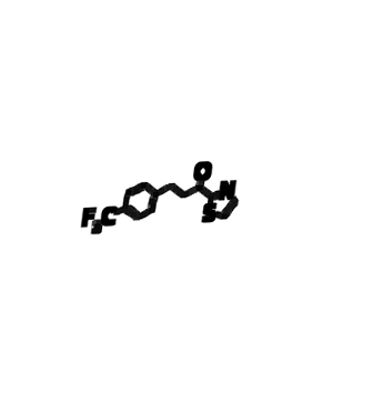 O=C(CCc1ccc(C(F)(F)F)cc1)c1nccs1